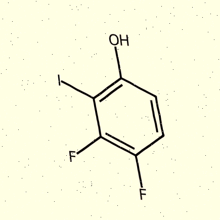 Oc1ccc(F)c(F)c1I